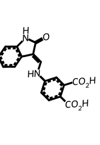 O=C1Nc2ccccc2C1=CNc1ccc(C(=O)O)c(C(=O)O)c1